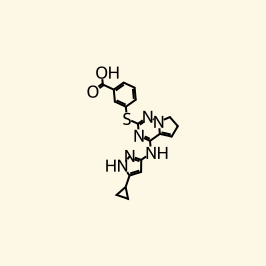 O=C(O)c1cccc(SC2=NN3CCC=C3C(Nc3cc(C4CC4)[nH]n3)=N2)c1